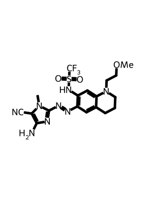 COCCN1CCCc2cc(N=Nc3nc(N)c(C#N)n3C)c(NS(=O)(=O)C(F)(F)F)cc21